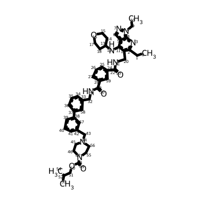 CCc1nc2c(cnn2CC)c(NC2CCOCC2)c1CNC(=O)c1cccc(C(=O)NCc2cccc(-c3cccc(CN4CCN(C(=O)OCC(C)C)CC4)c3)c2)c1